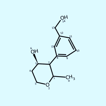 CC1OCC[C@@H](O)C1c1cccc(CO)c1